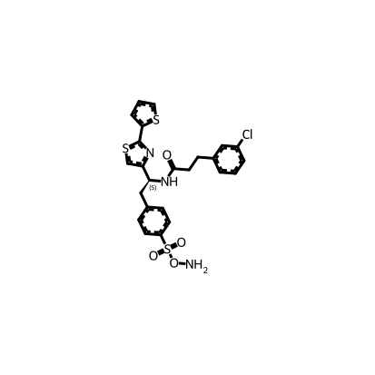 NOS(=O)(=O)c1ccc(C[C@H](NC(=O)CCc2cccc(Cl)c2)c2csc(-c3cccs3)n2)cc1